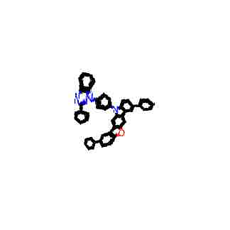 c1ccc(-c2ccc3oc4cc5c6cc(-c7ccccc7)ccc6n(-c6ccc(-n7c(-c8ccccc8)nc8ccccc87)cc6)c5cc4c3c2)cc1